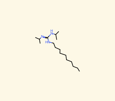 CCCCCCCCCCN/C(=N\C(C)C)NC(C)C